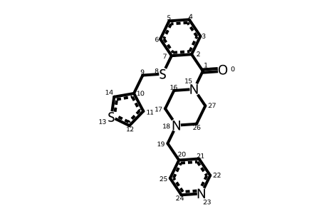 O=C(c1ccccc1SCc1ccsc1)N1CCN(Cc2ccncc2)CC1